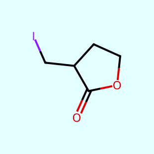 O=C1OCCC1CI